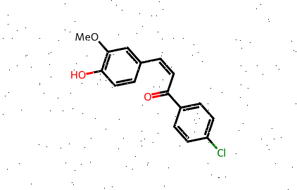 COc1cc(/C=C\C(=O)c2ccc(Cl)cc2)ccc1O